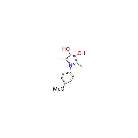 COc1ccc(-n2c(C)c(O)c(O)c2C)cc1